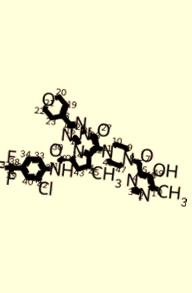 Cc1ncnc(C(=O)N2CCN(c3c4n(c5nc(C6=CCOCC6)nn5c3=O)[C@H](C(=O)Nc3ccc(C(F)(F)F)cc3Cl)C[C@H]4C)CC2)c1O